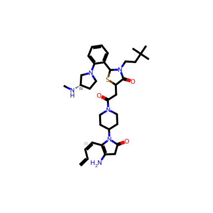 C=C/C=C\C1=C(N)CC(=O)N1C1CCN(C(=O)CC2SC(c3ccccc3N3CC[C@H](NC)C3)N(CCC(C)(C)C)C2=O)CC1